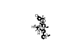 CCOc1ncccc1-c1ccc(N2C[C@H]3CN(c4ccc(Cl)cc4C(F)(F)F)C(=O)N3C[C@H]2CC)c(C(=O)N[C@@H](C)C(=O)NC)n1